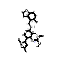 C=N/C(=N\c1c(-c2cc(C)nn2C)cnc(NCc2c(F)ccc3c2CCO3)c1C)OC